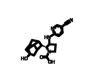 N#Cc1ccc(NC2CCN(C(=O)O)[C@@H]2C2C3CC4CC2CC(O)(C4)C3)nc1